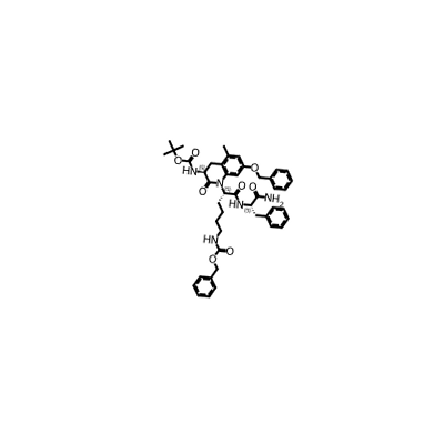 Cc1cc(OCc2ccccc2)cc2c1C[C@H](NC(=O)OC(C)(C)C)C(=O)N2[C@@H](CCCCNC(=O)OCc1ccccc1)C(=O)N[C@@H](Cc1ccccc1)C(N)=O